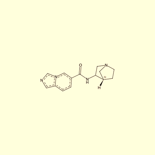 O=C(NC1CN2CC[C@H]1C2)c1ccc2cncn2c1